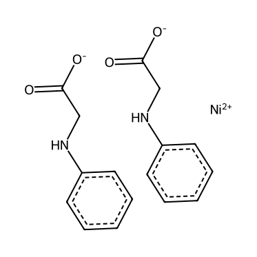 O=C([O-])CNc1ccccc1.O=C([O-])CNc1ccccc1.[Ni+2]